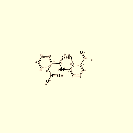 CC(=O)c1cccc(NC(=O)c2ccccc2[N+](=O)[O-])c1O